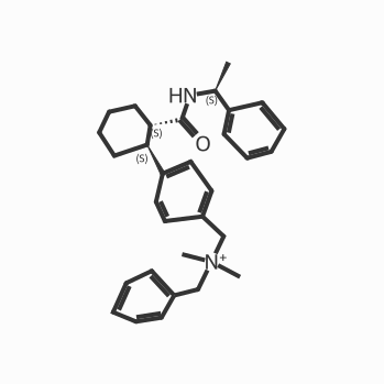 C[C@H](NC(=O)[C@H]1CCCC[C@@H]1c1ccc(C[N+](C)(C)Cc2ccccc2)cc1)c1ccccc1